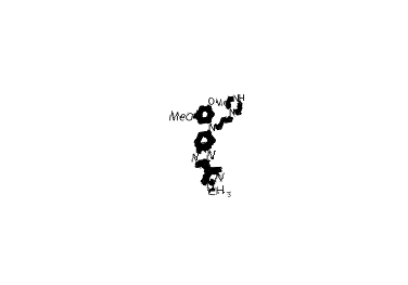 COc1cc(OC)cc(N(CCCN2CCNCC2)c2ccc3ncc(-c4cnn(C)c4)nc3c2)c1